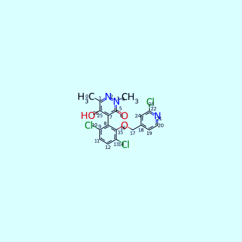 Cc1nn(C)c(=O)c(-c2c(Cl)ccc(Cl)c2OCc2ccnc(Cl)c2)c1O